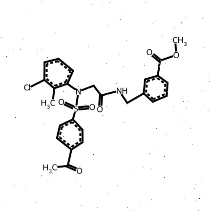 COC(=O)c1cccc(CNC(=O)CN(c2cccc(Cl)c2C)S(=O)(=O)c2ccc(C(C)=O)cc2)c1